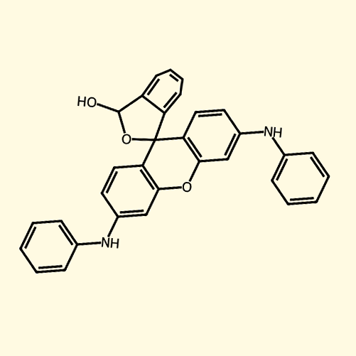 OC1OC2(c3ccc(Nc4ccccc4)cc3Oc3cc(Nc4ccccc4)ccc32)c2ccccc21